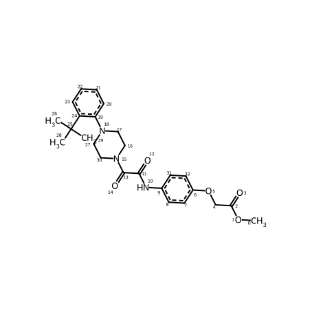 COC(=O)COc1ccc(NC(=O)C(=O)N2CCN(c3ccccc3C(C)(C)C)CC2)cc1